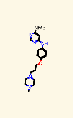 CNc1cc(Nc2ccc(OCCCN3CCN(C)CC3)cc2)ncn1